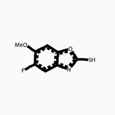 COc1cc2oc(S)nc2cc1F